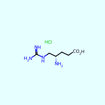 Cl.N=C(N)NC[C@@H](N)CCC(=O)O